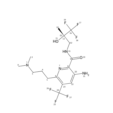 CN(C)CCCc1nc(C(=O)NC[C@](C)(O)C(F)(F)F)c(N)cc1C(F)(F)F